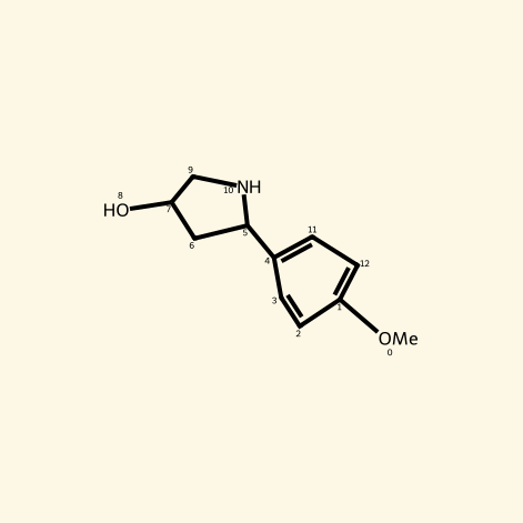 COc1ccc(C2CC(O)CN2)cc1